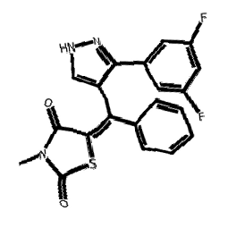 CN1C(=O)SC(=C(c2ccccc2)c2c[nH]nc2-c2cc(F)cc(F)c2)C1=O